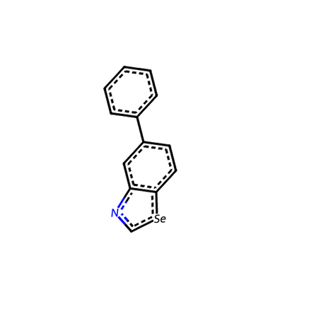 c1ccc(-c2ccc3[se]cnc3c2)cc1